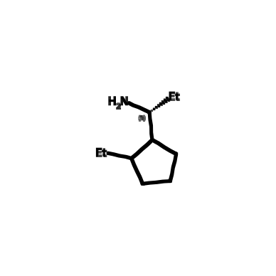 CCC1CCCC1[C@H](N)CC